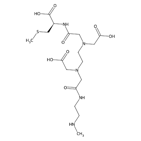 CNCCNC(=O)CN(CCN(CC(=O)O)CC(=O)N[C@@H](CSC)C(=O)O)CC(=O)O